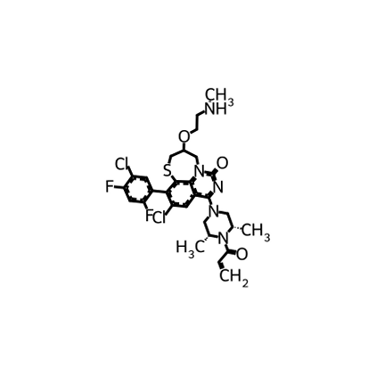 C=CC(=O)N1[C@H](C)CN(c2nc(=O)n3c4c(c(-c5cc(Cl)c(F)cc5F)c(Cl)cc24)SCC(OCCNC)C3)C[C@@H]1C